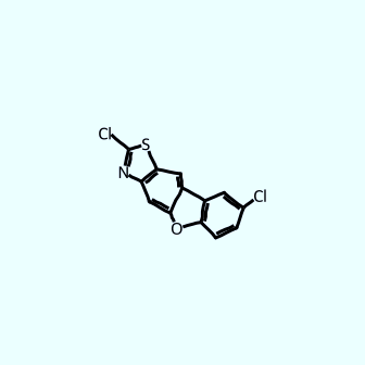 Clc1ccc2oc3cc4nc(Cl)sc4cc3c2c1